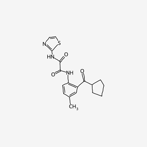 Cc1ccc(NC(=O)C(=O)Nc2nccs2)c(C(=O)C2CCCC2)c1